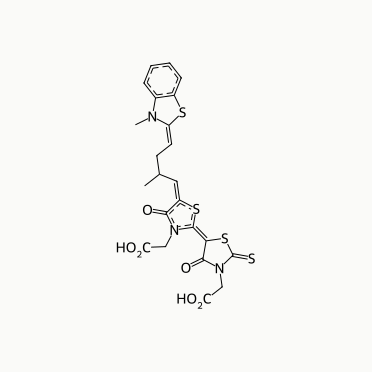 CC(C=c1sc(=C2SC(=S)N(CC(=O)O)C2=O)n(CC(=O)O)c1=O)CC=C1Sc2ccccc2N1C